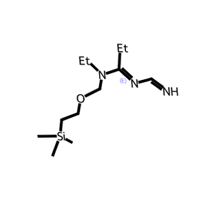 CC/C(=N\C=N)N(CC)COCC[Si](C)(C)C